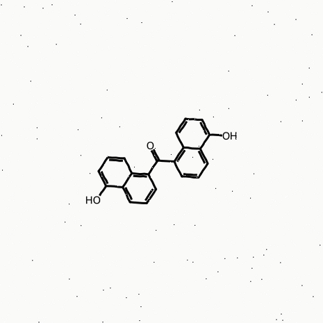 O=C(c1cccc2c(O)cccc12)c1cccc2c(O)cccc12